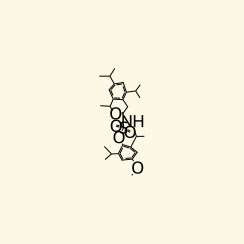 COc1cc(C(C)C)c(OS(=O)(=O)NC(=O)Cc2c(C(C)C)cc(C(C)C)cc2C(C)C)c(C(C)C)c1